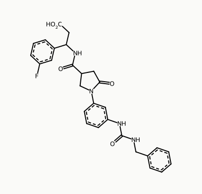 O=C(O)CC(NC(=O)C1CC(=O)N(c2cccc(NC(=O)NCc3ccccc3)c2)C1)c1cccc(F)c1